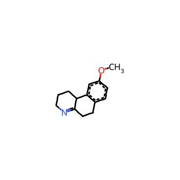 COc1ccc2c(c1)C1CCCN=C1CC2